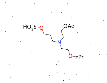 CCCOCCN(CCCOS(=O)(=O)O)CCOC(C)=O